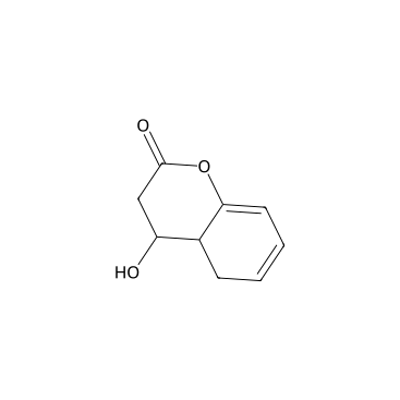 O=C1CC(O)C2CC=CC=C2O1